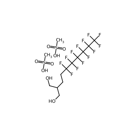 CS(=O)(=O)O.CS(=O)(=O)O.OCC(CO)CCC(F)(F)C(F)(F)C(F)(F)C(F)(F)C(F)(F)C(F)(F)F